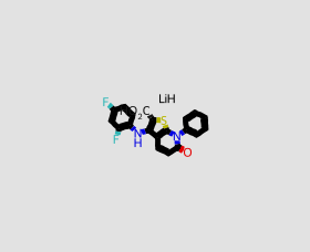 O=C(O)c1sc2c(ccc(=O)n2-c2ccccc2)c1Nc1ccc(F)cc1F.[LiH]